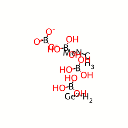 C[NH2+]C.OB(O)O.OB(O)O.OB(O)O.[GeH2+2].[O-]B([O-])[O-]